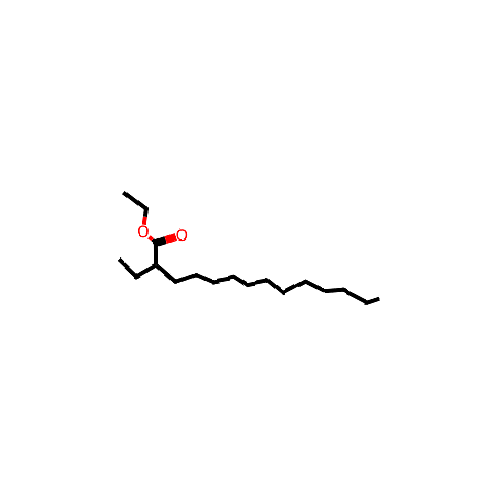 CCCCCCCCCCCCC(CC)C(=O)OCC